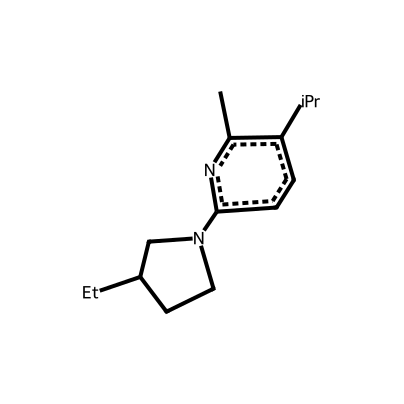 CCC1CCN(c2ccc(C(C)C)c(C)n2)C1